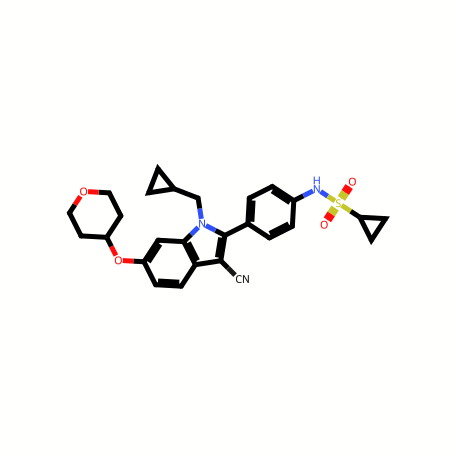 N#Cc1c(-c2ccc(NS(=O)(=O)C3CC3)cc2)n(CC2CC2)c2cc(OC3CCOCC3)ccc12